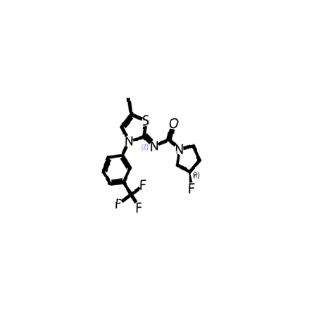 Cc1cn(-c2cccc(C(F)(F)F)c2)/c(=N/C(=O)N2CC[C@@H](F)C2)s1